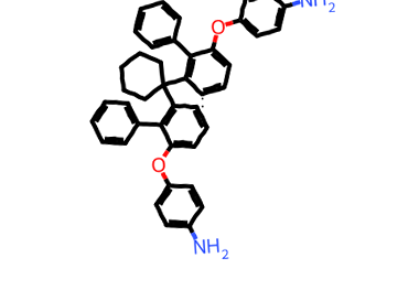 Nc1ccc(Oc2cc[c]c(C3(c4[c]ccc(Oc5ccc(N)cc5)c4-c4ccccc4)CCCCC3)c2-c2ccccc2)cc1